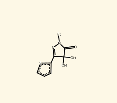 CCN1N=C(c2cccs2)C(O)(O)C1=O